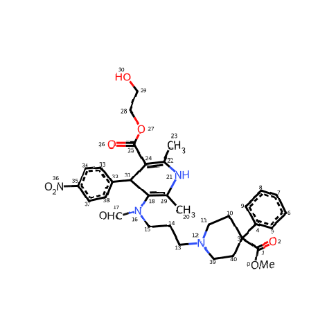 COC(=O)C1(c2ccccc2)CCN(CCCN(C=O)C2=C(C)NC(C)=C(C(=O)OCCO)C2c2ccc([N+](=O)[O-])cc2)CC1